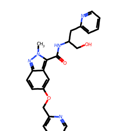 Cn1nc2ccc(OCc3ccccn3)cc2c1C(=O)NC(CO)Cc1ccccn1